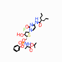 CCCC(CCC)C(=O)Nc1ccn([C@@H]2S[C@H](CO[P@@](=O)(NC(C)C(=O)OC(C)C)Oc3ccccc3)[C@@H](O)[C@@H]2F)c(=O)n1